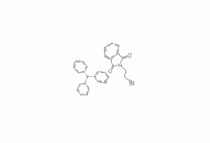 O=C1c2ccccc2C(=O)N1CCBr.c1ccc(P(c2ccccc2)c2ccccc2)cc1